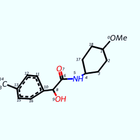 COC1CCC(NC(=O)C(O)c2ccc(C(F)(F)F)cc2)CC1